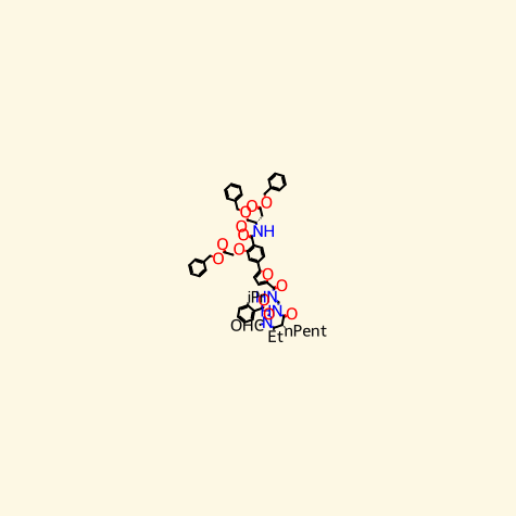 CCCCC[C@@H](C(=O)NCNC(=O)c1ccc(-c2ccc(C(=O)N[C@@H](CC(=O)OCc3ccccc3)C(=O)OCc3ccccc3)c(OCC(=O)OCc3ccccc3)c2)o1)[C@@H](CC)N(C=O)OC(=O)c1ccccc1C(C)C